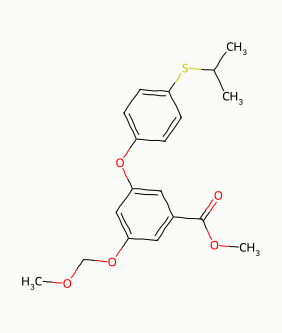 COCOc1cc(Oc2ccc(SC(C)C)cc2)cc(C(=O)OC)c1